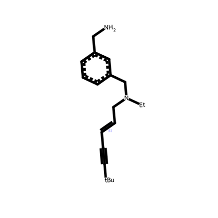 CCN(C/C=C/C#CC(C)(C)C)Cc1cccc(CN)c1